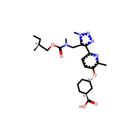 CC[C@H](C)COC(=O)N(C)Cc1c(-c2ccc(O[C@H]3CCC[C@H](C(=O)O)C3)c(C)n2)nnn1C